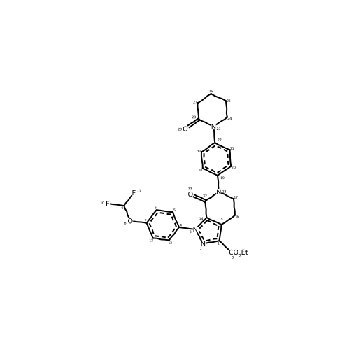 CCOC(=O)c1nn(-c2ccc(OC(F)F)cc2)c2c1CCN(c1ccc(N3CCCCC3=O)cc1)C2=O